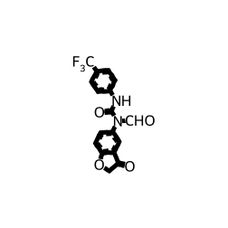 O=CN(C(=O)Nc1ccc(C(F)(F)F)cc1)c1ccc2c(c1)C(=O)CO2